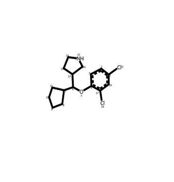 Clc1ccc(OC(C2CCCC2)C2CCNC2)c(Cl)c1